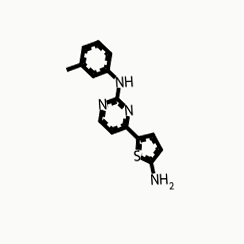 Cc1cccc(Nc2nccc(-c3ccc(N)s3)n2)c1